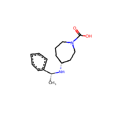 C[C@@H](N[C@@H]1CCCN(C(=O)O)CC1)c1ccccc1